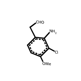 COc1ccc(CC=O)c(N)c1Cl